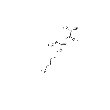 C=N/C(=C\C=C(/C)B(O)O)OCCCCCC